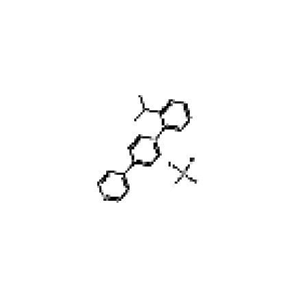 CC(C)c1ccccc1-[n+]1ccc(-c2ccncc2)cc1.F[B-](F)(F)F